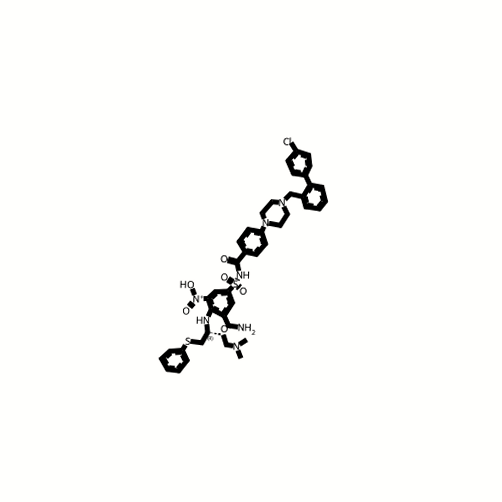 CN(C)CC[C@H](CSc1ccccc1)Nc1c(C(N)=O)cc(S(=O)(=O)NC(=O)c2ccc(N3CCN(Cc4ccccc4-c4ccc(Cl)cc4)CC3)cc2)cc1[N+](=O)O